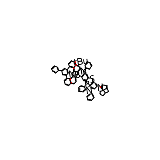 CC(C)(C)c1cc2c3c(c1)N(c1c(-c4ccccc4)cc(-c4ccccc4)cc1-c1ccccc1)c1ccccc1B3c1cc3c(cc1N2c1ccccc1)Sc1cc(N2C4CC5CC6CC2CC56C4)cc2c1B3c1ccccc1N2c1ccccc1